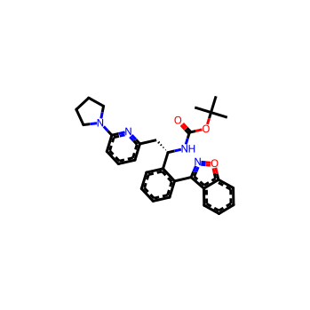 CC(C)(C)OC(=O)N[C@@H](Cc1cccc(N2CCCC2)n1)c1ccccc1-c1noc2ccccc12